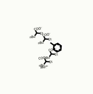 CCCCC(CC)C(=O)[O-].CCCCC(CC)C(=O)[O-].CCCCC(CC)C(=O)[O-].CCCCC(CC)C(=O)[O-].Cc1ccccc1.[Mo+4]